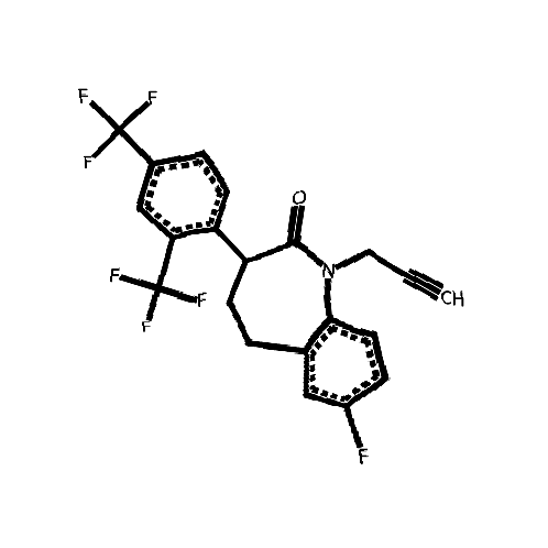 C#CCN1C(=O)C(c2ccc(C(F)(F)F)cc2C(F)(F)F)CCc2cc(F)ccc21